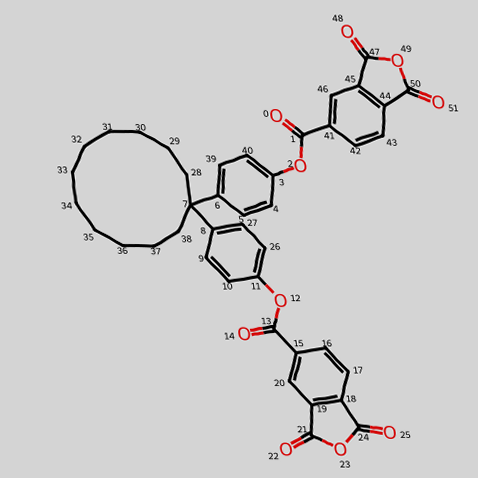 O=C(Oc1ccc(C2(c3ccc(OC(=O)c4ccc5c(c4)C(=O)OC5=O)cc3)CCCCCCCCCCC2)cc1)c1ccc2c(c1)C(=O)OC2=O